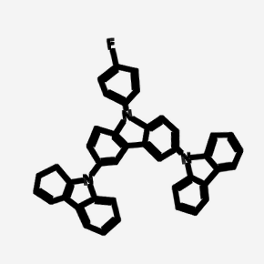 Fc1ccc(-n2c3ccc(-n4c5c(c6ccccc64)C=CCC5)cc3c3cc(-n4c5ccccc5c5ccccc54)ccc32)cc1